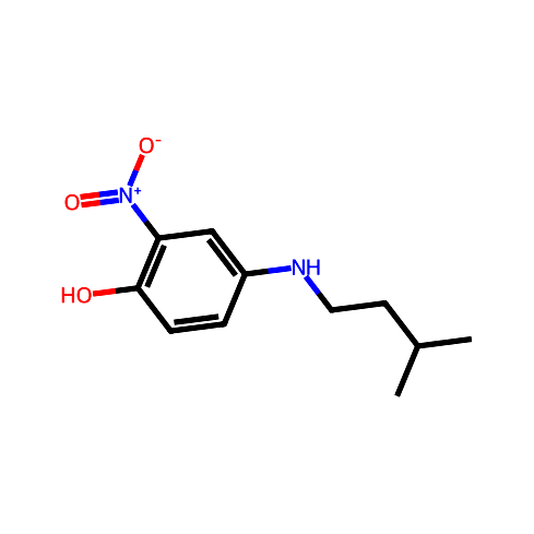 CC(C)CCNc1ccc(O)c([N+](=O)[O-])c1